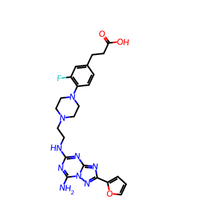 Nc1nc(NCCN2CCN(c3ccc(CCC(=O)O)cc3F)CC2)nc2nc(-c3ccco3)nn12